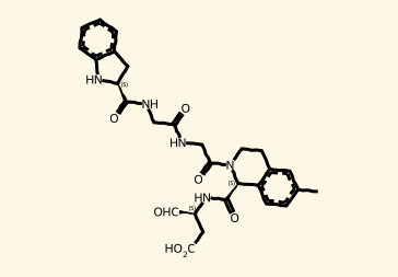 Cc1ccc2c(c1)CCN(C(=O)CNC(=O)CNC(=O)[C@@H]1Cc3ccccc3N1)[C@@H]2C(=O)N[C@H](C=O)CC(=O)O